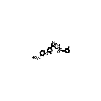 Cc1cccc(COC(=O)NCc2c(-c3ccc(O[C@H]4CCC[C@H](C(=O)O)C4)c(C)n3)cnn2C)c1